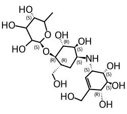 CC1O[C@@H](O[C@@H]2[C@@H](CO)C[C@H](N[C@H]3C=C(CO)[C@@H](O)[C@H](O)[C@H]3O)[C@H](O)[C@H]2O)C(O)C(O)[C@@H]1O